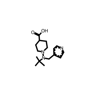 CC(C)(C)N(Cc1ccncc1)N1CCC(C(=O)O)CC1